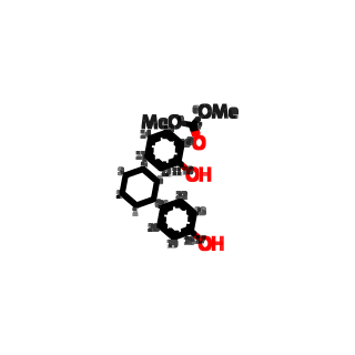 C1CCCCC1.COC(=O)OC.Oc1ccccc1.Oc1ccccc1